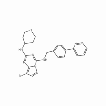 Brc1cnn2c(NCc3ccc(-c4ccccn4)cc3)nc(NC3CCOCC3)nc12